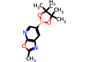 Cc1nc2cc(B3OC(C)(C)C(C)(C)O3)cnc2o1